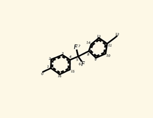 Cc1ccc(C(F)(F)c2ccc(C)cc2)cc1